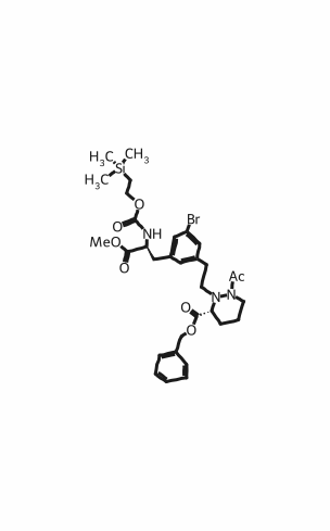 COC(=O)[C@H](Cc1cc(Br)cc(CCN2[C@@H](C(=O)OCc3ccccc3)CCCN2C(C)=O)c1)NC(=O)OCC[Si](C)(C)C